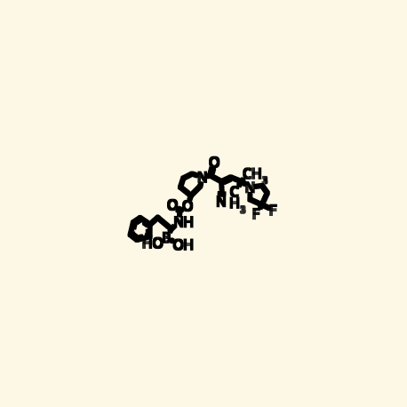 CC(C)(C=C(C#N)C(=O)N1CCCC(OC(=O)NC(Cc2ccccc2)B(O)O)C1)N1CCC(F)(F)C1